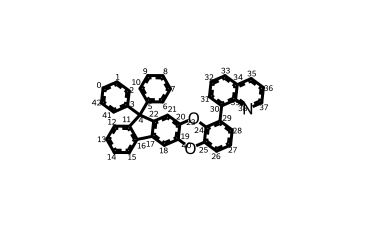 c1ccc(C2(c3ccccc3)c3ccccc3-c3cc4c(cc32)Oc2c(cccc2-c2cccc3cccnc23)O4)cc1